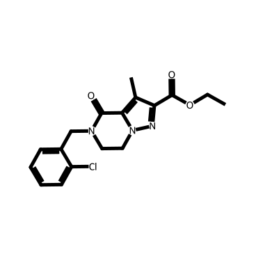 CCOC(=O)c1nn2c(c1C)C(=O)N(Cc1ccccc1Cl)CC2